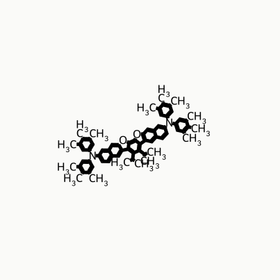 Cc1cc(N(c2cc(C)c(C)c(C)c2)c2ccc3cc4c(cc3c2)oc2c3oc5cc6cc(N(c7cc(C)c(C)c(C)c7)c7cc(C)c(C)c(C)c7)ccc6cc5c3c(C(C)C)c(C(C)C)c42)cc(C)c1C